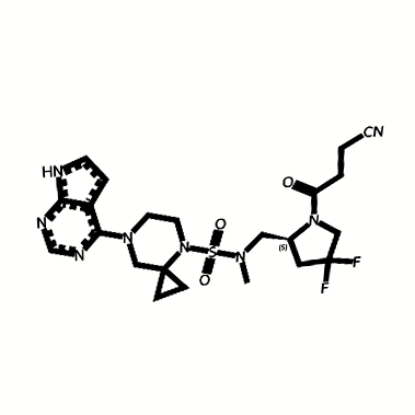 CN(C[C@@H]1CC(F)(F)CN1C(=O)CCC#N)S(=O)(=O)N1CCN(c2ncnc3[nH]ccc23)CC12CC2